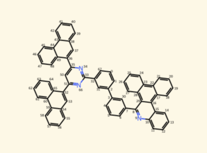 c1cc(-c2cccc(-c3nc4ccccc4c4c5ccccc5c5ccccc5c34)c2)cc(-c2nc(-c3cc4ccccc4c4ccccc34)cc(-c3cc4ccccc4c4ccccc34)n2)c1